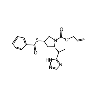 C=CCOC(=O)N1C[C@@H](SC(=O)c2ccccc2)C[C@@H]1C(C)c1ncn[nH]1